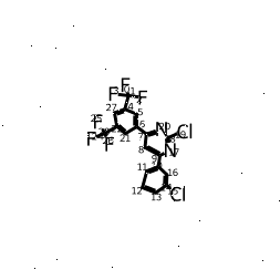 FC(F)(F)c1cc(-c2cc(-c3cccc(Cl)c3)nc(Cl)n2)cc(C(F)(F)F)c1